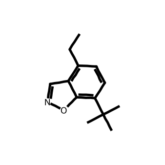 CCc1ccc(C(C)(C)C)c2oncc12